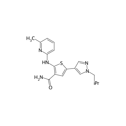 Cc1cccc(Nc2sc(-c3cnn(CC(C)C)c3)cc2C(N)=O)n1